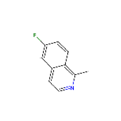 Cc1nccc2[c]c(F)ccc12